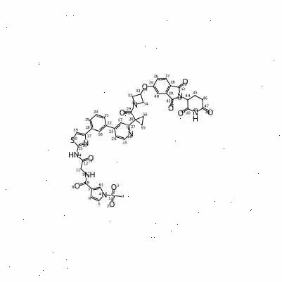 CS(=O)(=O)n1ccc(C(=O)NCC(=O)Nc2nc(-c3cccc(-c4ccnc(C5(C(=O)N6CC(Oc7ccc8c(c7)C(=O)N(C7CCC(=O)NC7=O)C8=O)C6)CC5)c4)c3)cs2)c1